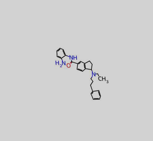 CCN(CCCc1ccccc1)C1CCc2cc(C(=O)Nc3ccccc3N)ccc21